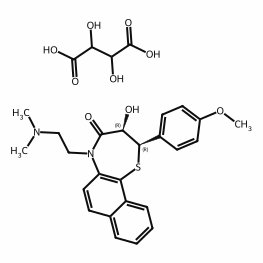 COc1ccc([C@H]2Sc3c(ccc4ccccc34)N(CCN(C)C)C(=O)[C@H]2O)cc1.O=C(O)C(O)C(O)C(=O)O